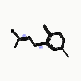 C=c1ccc(C)c/c1=C/C=C(\C)F